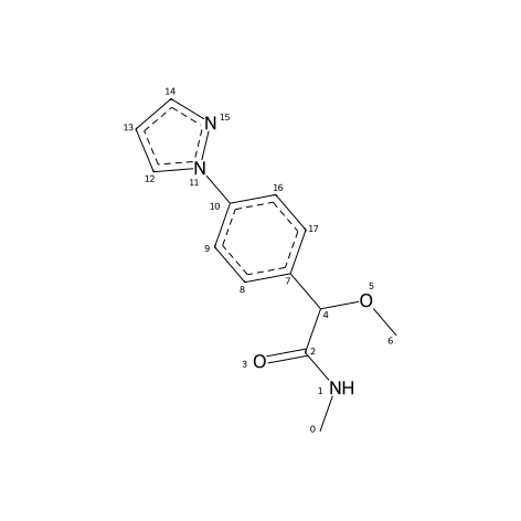 CNC(=O)C(OC)c1ccc(-n2cccn2)cc1